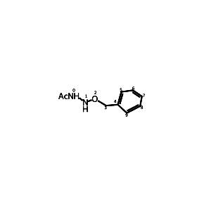 CC(=O)NNOCc1ccccc1